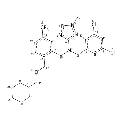 Cn1nnc(N(Cc2cc(Cl)cc(Cl)c2)Cc2cc(C(F)(F)F)ccc2COCC2CCCCC2)n1